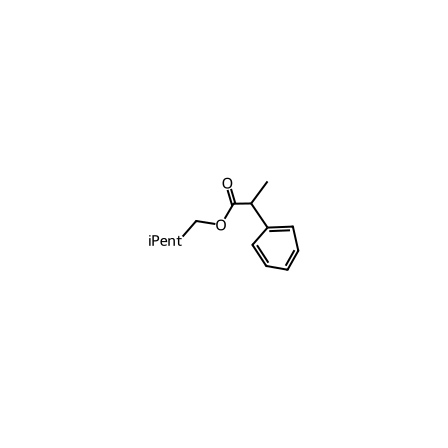 CCCC(C)COC(=O)C(C)c1ccccc1